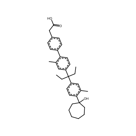 CCC(CC)(c1ccc(-c2ccc(CC(=O)O)cc2)c(C)c1)c1ccc(C2(O)CCCCCC2)c(C)c1